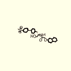 CS(=O)(=O)c1ccc(-c2ccc(C[C@@H](CO)NC(=O)COc3ccc4ccccc4c3)cc2)cc1